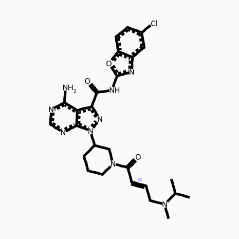 CC(C)N(C)C/C=C/C(=O)N1CCCC(n2nc(C(=O)Nc3nc4cc(Cl)ccc4o3)c3c(N)ncnc32)C1